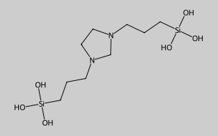 O[Si](O)(O)CCCN1CCN(CCC[Si](O)(O)O)C1